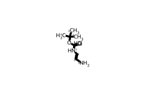 CC(C)(C)OC(=O)N/C=C/N.Cl